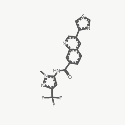 Cn1nc(C(F)(F)F)cc1NC(=O)c1ccc2cc(-c3cscn3)cnc2c1